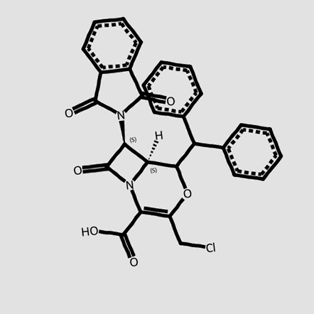 O=C(O)C1=C(CCl)OC(C(c2ccccc2)c2ccccc2)[C@@H]2[C@H](N3C(=O)c4ccccc4C3=O)C(=O)N12